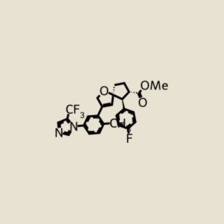 COC(=O)[C@H]1CC[C@@]2(C=C(c3cc(-n4cncc4C(F)(F)F)ccc3C)CO2)[C@@H]1c1ccc(F)cc1